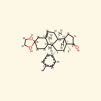 Cc1ccc([C@H]2C[C@]3(C)C(=O)CC[C@H]3[C@@H]3CC=C4CC5(CC[C@@H]4[C@H]32)OCCO5)cc1